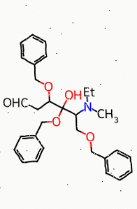 CCN(C)C(COCc1ccccc1)C(O)(OCc1ccccc1)C(CC=O)OCc1ccccc1